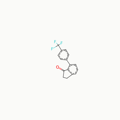 O=C1CCc2cccc(-c3ccc(C(F)(F)F)cc3)c21